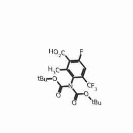 Cc1c(C(=O)O)c(F)cc(C(F)(F)F)c1N(C(=O)OC(C)(C)C)C(=O)OC(C)(C)C